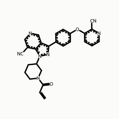 C=CC(=O)N1CCCC(n2nc(-c3ccc(Oc4cccnc4C#N)cc3)c3cncc(C#N)c32)C1